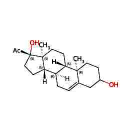 CC(=O)[C@]1(O)CC[C@H]2[C@@H]3CC=C4CC(O)CC[C@]4(C)[C@H]3CC[C@@]21C